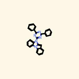 c1ccc(-c2nc(-c3ccccc3)nc(-n3c4ccccc4n4c5ccccc5cc34)n2)cc1